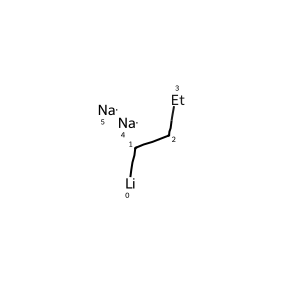 [Li][CH2]CCC.[Na].[Na]